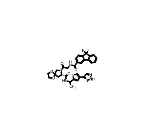 CC(NC(=O)[C@@H]1CC2(CN1C(=O)CNC(=O)c1ccc3c(c1)-c1ccccc1C3(F)F)OCCO2)c1cc(-c2cn[nH]n2)cs1